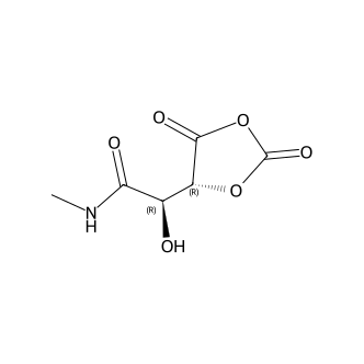 CNC(=O)[C@H](O)[C@H]1OC(=O)OC1=O